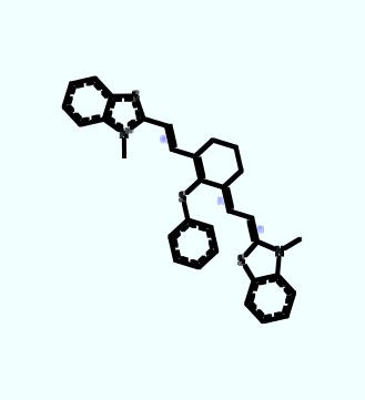 CN1/C(=C/C=C2\CCCC(/C=C/c3sc4ccccc4[n+]3C)=C2Sc2ccccc2)Sc2ccccc21